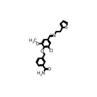 COc1cc(/C=N/CCc2cccs2)cc(Cl)c1OCc1cccc(C(N)=O)c1